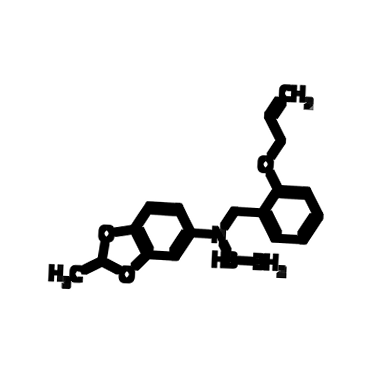 BBN(Cc1ccccc1OCC=C)c1ccc2c(c1)OC(C)O2